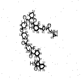 O=C(N[C@@H](C(=O)N1CCC(OC2CCN(CC(=O)N3CCN(C(=O)c4cc(Cc5n[nH]c(=O)c6ccccc56)ccc4F)CC3)CC2)CC1)C1CCCCC1)c1cccc(C2CN(C(=O)CNC3CC3)C2)c1F